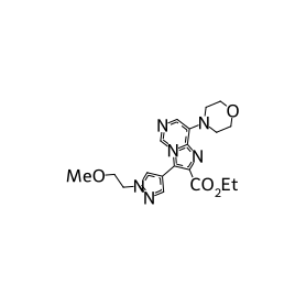 CCOC(=O)c1nc2c(N3CCOCC3)cncn2c1-c1cnn(CCOC)c1